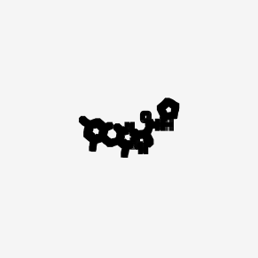 Cc1cc(C)c(Cc2c(C)nc3c(C(=O)NC4CCCC4)cnn3c2C)c(C)c1